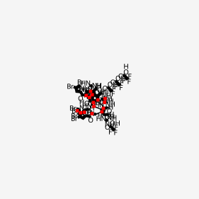 N=C1N[C@@H]2O[C@@H]3NC(=N)N[C@]34[C@H]([C@H](CNC(=O)c3cc(Br)c(Br)[nH]3)[C@@H](CNC(=O)c3cc(Br)c(Br)[nH]3)[C@@H]4O[C@H]3[C@H](CNC(=O)c4cc(Br)c(Br)[nH]4)[C@@H](CNC(=O)c4cc(Br)c(Br)[nH]4)[C@H]4[C@]5(O)NC(=N)N[C@@H]5O[C@@H]5NC(=N)N[C@]534)[C@]2(O)N1.O=C(O)C(F)(F)F.O=C(O)C(F)(F)F.O=C(O)C(F)(F)F.O=C(O)C(F)(F)F